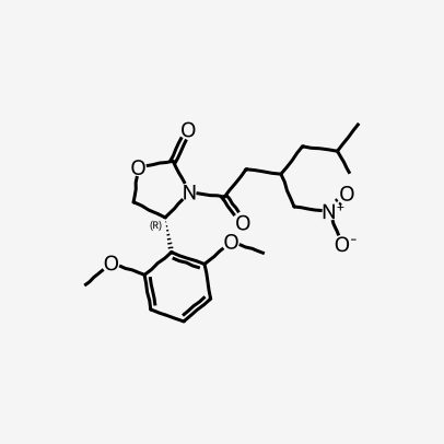 COc1cccc(OC)c1[C@@H]1COC(=O)N1C(=O)CC(CC(C)C)C[N+](=O)[O-]